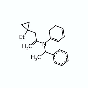 C=C(CC1(CC)CC1)N(C1=CC=CCC1)C(C)c1ccccc1